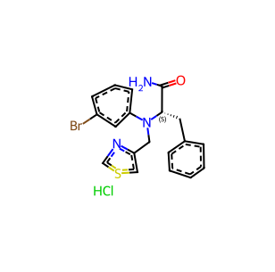 Cl.NC(=O)[C@H](Cc1ccccc1)N(Cc1cscn1)c1cccc(Br)c1